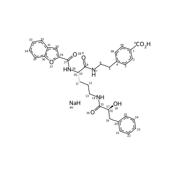 O=C(O)c1ccc(CCNC(=O)[C@H](CCCNC(=O)[C@@H](O)Cc2ccccc2)NC(=O)c2cc3ccccc3o2)cc1.[NaH]